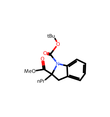 CCCC1(C(=O)OC)Cc2ccccc2N1C(=O)OC(C)(C)C